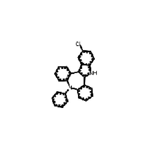 Clc1ccc2[nH]c3c(c2c1)-c1ccccc1N(c1ccccc1)c1ccccc1-3